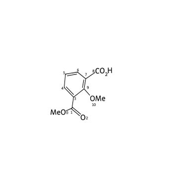 COC(=O)c1cccc(C(=O)O)c1OC